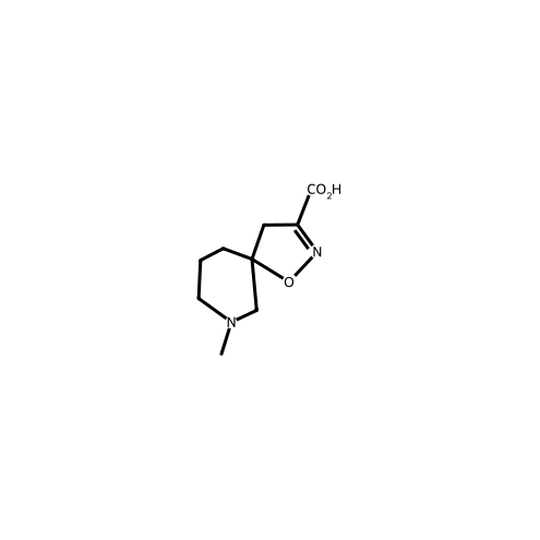 CN1CCCC2(CC(C(=O)O)=NO2)C1